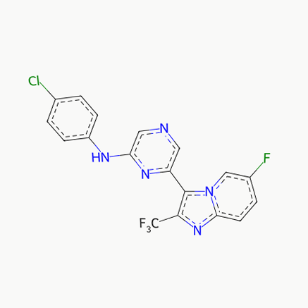 Fc1ccc2nc(C(F)(F)F)c(-c3cncc(Nc4ccc(Cl)cc4)n3)n2c1